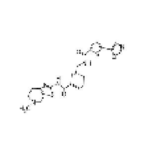 CN1CCc2nc(NC(=O)c3cccc(CNC(=O)c4ccc(-c5cnco5)s4)c3)sc2C1